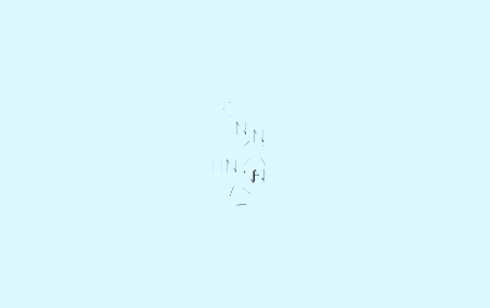 Cc1cccc([C@@H](C)Nc2nnc(C)c3cnc(N4CCOCC4)cc23)c1